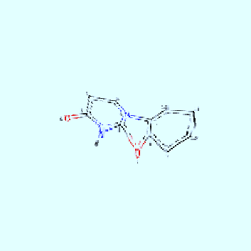 O=c1ccn2c(n1)oc1ccccc12